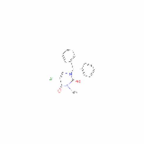 CCCn1c(=O)c(Br)cn(C(c2ccccc2)c2ccccc2)c1=O